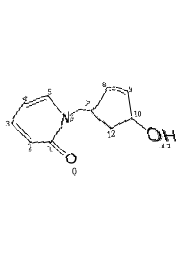 O=c1ccccn1C1C=CC(O)C1